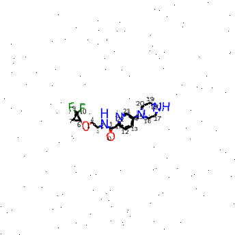 O=C(NCCOC1CC1(F)F)c1ccc(N2CCNCC2)cn1